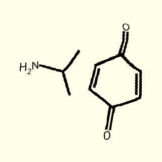 CC(C)N.O=C1C=CC(=O)C=C1